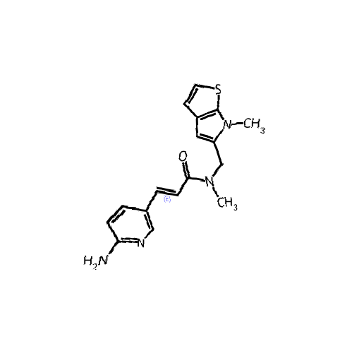 CN(Cc1cc2ccsc2n1C)C(=O)/C=C/c1ccc(N)nc1